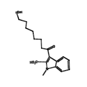 CCCCCCCCCCCCCCCCCC(=O)c1c(C(=O)O)n(C)c2ccccc12